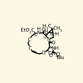 CCOC(=O)[C@@H]1CCCCC=CCO[C@@H](C)[C@H](NC(=O)OC(C)(C)C)C(=O)N2C[C@H]3C([C@H]2C(=O)N1)C3(C)C